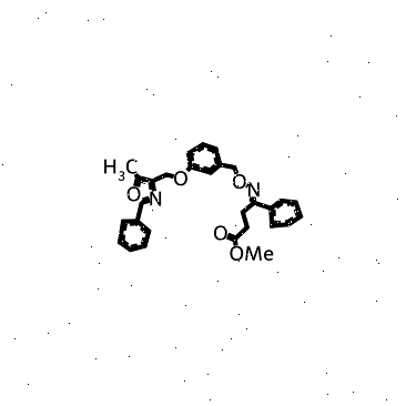 COC(=O)CC/C(=N\OCc1cccc(OCc2nc(-c3ccccc3)oc2C)c1)c1ccccc1